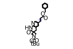 CC(C)(C)OC(=O)N1CC2(Cc3cc(/C=C/C(=O)OCc4ccccc4)cnc3NC2=O)C1